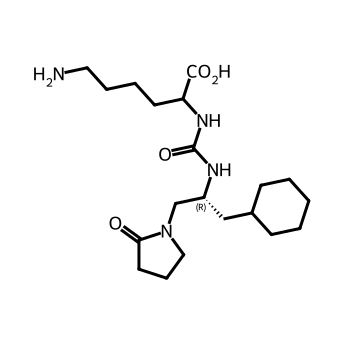 NCCCCC(NC(=O)N[C@H](CC1CCCCC1)CN1CCCC1=O)C(=O)O